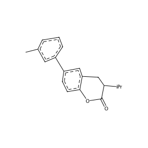 Cc1cccc(-c2ccc3c(c2)CC(C(C)C)C(=O)O3)c1